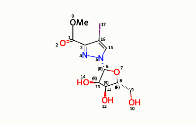 COC(=O)c1nn([C@@H]2O[C@H](CO)[C@@H](O)[C@H]2O)cc1I